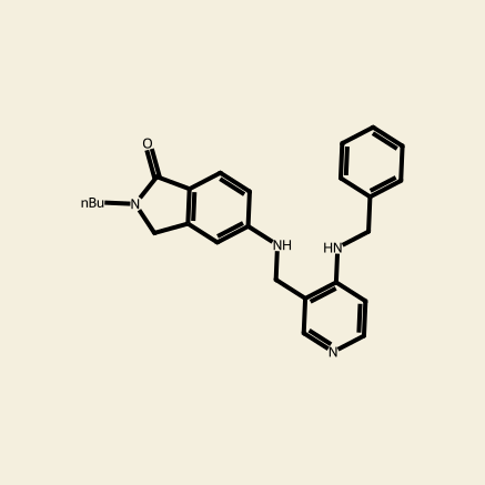 CCCCN1Cc2cc(NCc3cnccc3NCc3ccccc3)ccc2C1=O